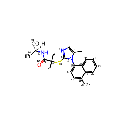 Cc1cnc(SC(C)(C)C(=O)N[C@@H](C(=O)O)C(C)C)n1-c1ccc(C(C)C)c2ccccc12